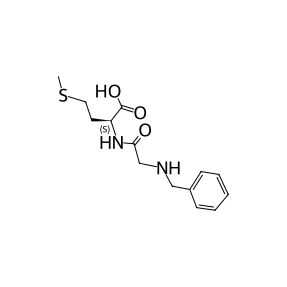 CSCC[C@H](NC(=O)CNCc1ccccc1)C(=O)O